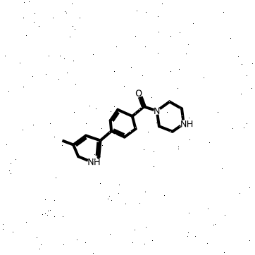 CC1=CC(C2=CCC(C(=O)N3CCNCC3)C=C2)=CNC1